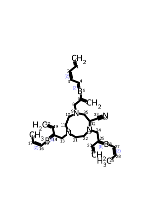 C=C/C=C\C=B/C(=C)CN1CCN(C/C(=B/C=C\C)C=C)CCN(C/C(=B/C=C\C)C=C)C(C#N)C1